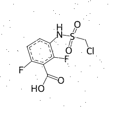 O=C(O)c1c(F)ccc(NS(=O)(=O)CCl)c1F